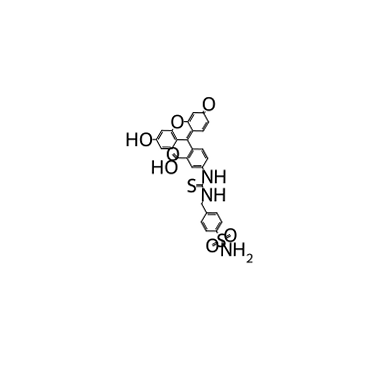 NS(=O)(=O)c1ccc(CNC(=S)Nc2ccc(-c3c4ccc(=O)cc-4oc4cc(O)ccc34)c(C(=O)O)c2)cc1